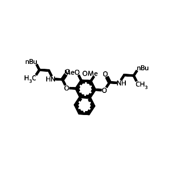 CCCCC(C)CNC(=O)Oc1c(OC)c(OC)c(OC(=O)NCC(C)CCCC)c2ccccc12